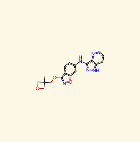 CC1(COc2noc3cc(Nc4n[nH]c5cccnc45)ccc23)COC1